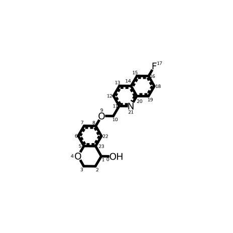 OC1CCOc2ccc(OCc3ccc4cc(F)ccc4n3)cc21